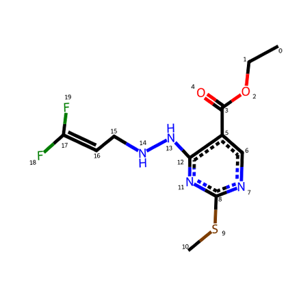 CCOC(=O)c1cnc(SC)nc1NNCC=C(F)F